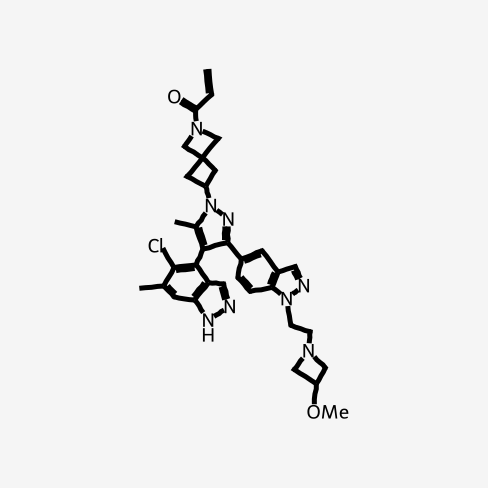 C=CC(=O)N1CC2(CC(n3nc(-c4ccc5c(cnn5CCN5CC(OC)C5)c4)c(-c4c(Cl)c(C)cc5[nH]ncc45)c3C)C2)C1